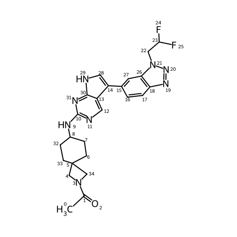 CC(=O)N1CC2(CCC(Nc3ncc4c(-c5ccc6nnn(CC(F)F)c6c5)c[nH]c4n3)CC2)C1